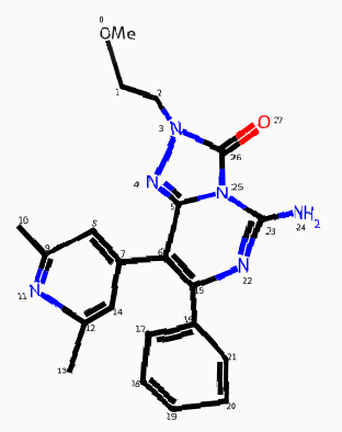 COCCn1nc2c(-c3cc(C)nc(C)c3)c(-c3ccccc3)nc(N)n2c1=O